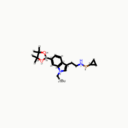 CC(C)(C)Cn1cc(CCNSC2CC2)c2ccc(B3OC(C)(C)C(C)(C)O3)cc21